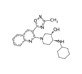 Cc1noc(-c2cc3ccccc3nc2N2CC[C@H](NC3CCCCC3)[C@H](O)C2)n1